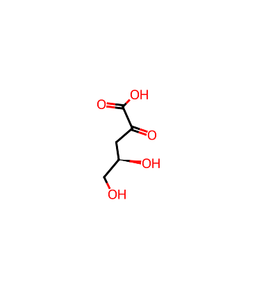 O=C(O)C(=O)C[C@@H](O)CO